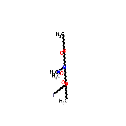 CCCCCCCCCOC(=O)CCCCCCCN(CCCCCCCC(=O)OC(CCCCCCCC)CCCCCCCI)CCCN(C)C(C)=O